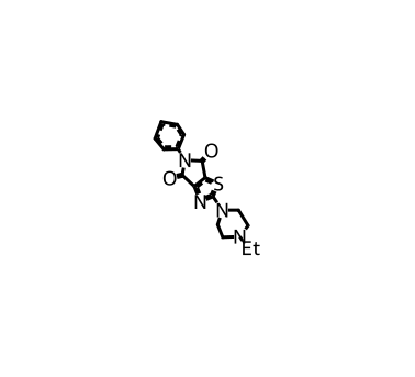 CCN1CCN(c2nc3c(s2)C(=O)N(c2ccccc2)C3=O)CC1